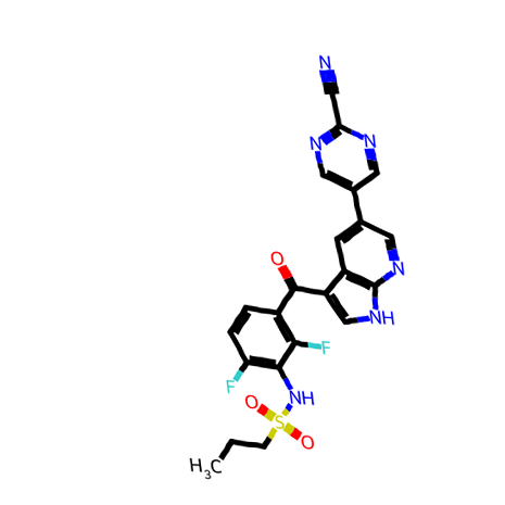 CCCS(=O)(=O)Nc1c(F)ccc(C(=O)c2c[nH]c3ncc(-c4cnc(C#N)nc4)cc23)c1F